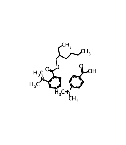 CCCCC(CC)COC(=O)c1ccccc1N(C)C.CN(C)c1ccc(C(=O)O)cc1